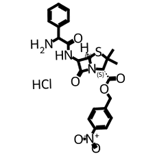 CC1(C)S[C@@H]2C(NC(=O)C(N)c3ccccc3)C(=O)N2[C@H]1C(=O)OCc1ccc([N+](=O)[O-])cc1.Cl